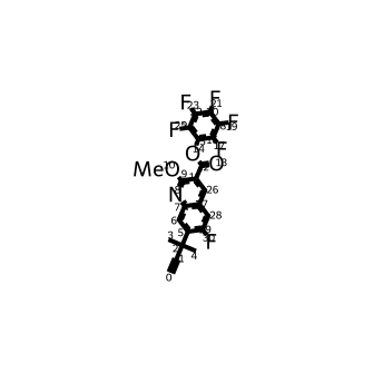 C#CC(C)(C)c1cc2nc(OC)c(C(=O)Oc3c(F)c(F)c(F)c(F)c3F)cc2cc1F